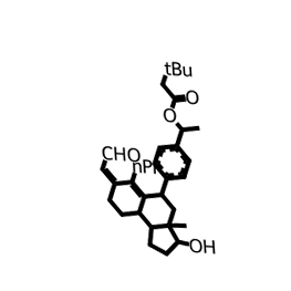 CCCC1=C2C(c3ccc(C(C)OC(=O)CC(C)(C)C)cc3)CC3(C)C(O)CCC3C2CC/C1=C/C=O